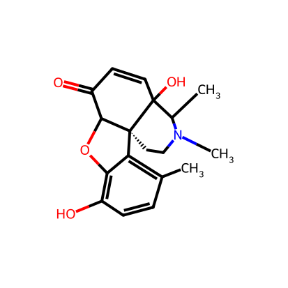 Cc1ccc(O)c2c1[C@]13CCN(C)C(C)C1(O)C=CC(=O)C3O2